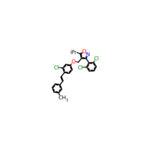 Cc1cccc(/C=C/c2ccc(OCc3c(-c4c(Cl)cccc4Cl)noc3C(C)C)cc2Cl)c1